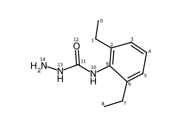 CCc1cccc(CC)c1NC(=O)NN